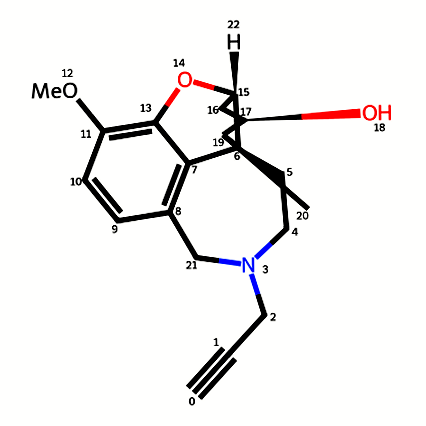 C#CCN1CC[C@]23c4c(ccc(OC)c4O[C@H]2C[C@@H](O)C3C)C1